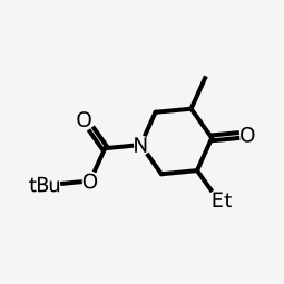 CCC1CN(C(=O)OC(C)(C)C)CC(C)C1=O